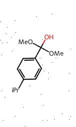 COC(O)(OC)c1ccc(C(C)C)cc1